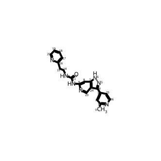 Cc1cc(-c2n[nH]c3cc(NC(=O)NCCc4ccccn4)ncc23)ccn1